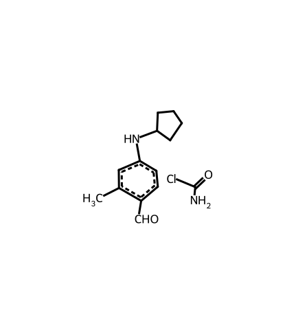 Cc1cc(NC2CCCC2)ccc1C=O.NC(=O)Cl